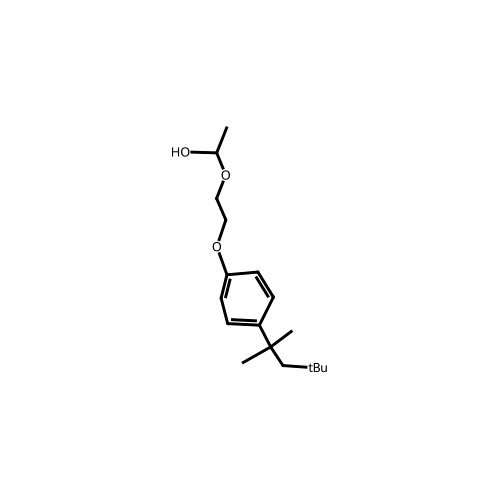 CC(O)OCCOc1ccc(C(C)(C)CC(C)(C)C)cc1